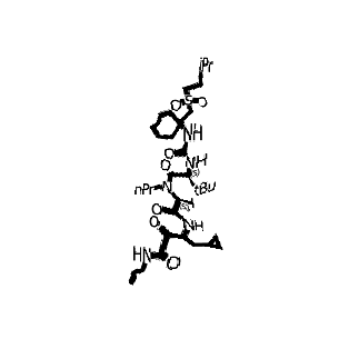 C=CCNC(=O)C(=O)C(CC1CC1)NC(=O)[C@H](I)N(CCC)C(=O)[C@@H](NC(=O)NC1(CS(=O)(=O)CCC(C)C)CCCCC1)C(C)(C)C